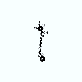 Nc1c(Cl)cc(C(O)CNCCCCCCOCCc2nc3ccccc3o2)cc1Cl